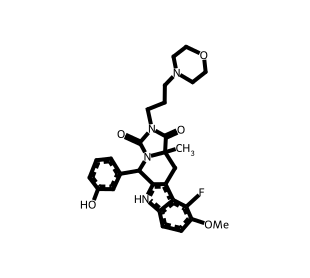 COc1ccc2[nH]c3c(c2c1F)CC1(C)C(=O)N(CCCN2CCOCC2)C(=O)N1C3c1cccc(O)c1